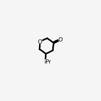 CC(C)C1COCC(=O)C1